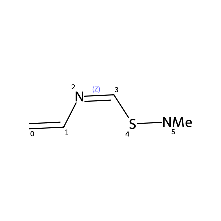 C=C/N=C\SNC